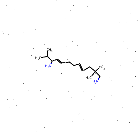 CC(C)C(N)/C=C/CC/C=C/CC(C)(C)CN